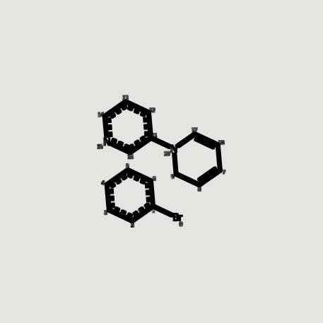 Brc1ccccc1.C1=CCN(c2cccnc2)C=C1